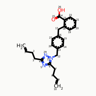 C=CCCc1nc(CCC=C)n(Cc2ccc(Cc3ccccc3C(=O)O)cc2)n1